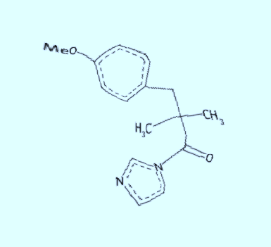 COc1ccc(CC(C)(C)C(=O)n2ccnc2)cc1